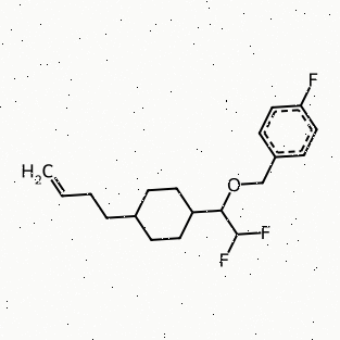 C=CCCC1CCC(C(OCc2ccc(F)cc2)C(F)F)CC1